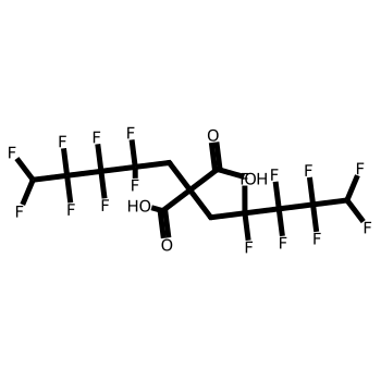 O=C(O)C(CC(F)(F)C(F)(F)C(F)(F)C(F)F)(CC(F)(F)C(F)(F)C(F)(F)C(F)F)C(=O)O